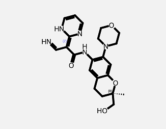 C[C@]1(CO)CCc2cc(NC(=O)/C(C=N)=C3\N=CC=CN3)c(N3CCOCC3)cc2O1